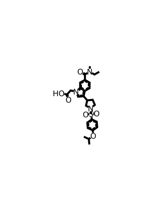 CCN(C)C(=O)c1ccc2c(C3CCN(S(=O)(=O)c4ccc(OC(C)C)cc4)C3)cn(CC(=O)O)c2c1